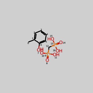 Cc1ccccc1O.O=P(O)(O)CP(=O)(O)O